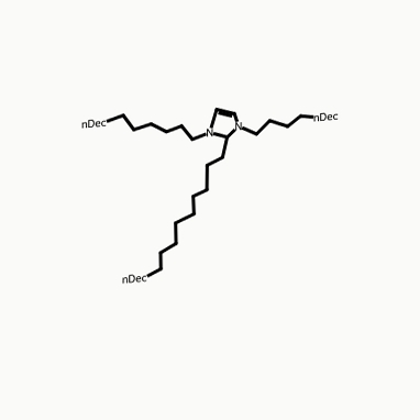 CCCCCCCCCCCCCCCCCCCC1N(CCCCCCCCCCCCCC)C=CN1CCCCCCCCCCCCCCCC